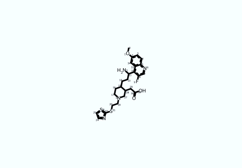 COc1ccc2ncc(F)c(C(N)CCC3CCN(CCSc4nccs4)CC3CC(=O)O)c2c1